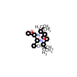 Cc1ccccc1-c1cc2c3c(c1)N(c1ccc(C(C)(C)C)cc1-c1ccccc1)c1oc4ccccc4c1B3N(c1ccc(C(C)(C)C)cc1)c1cc3oc4ccccc4c3cc1-2